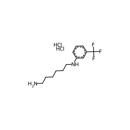 Cl.Cl.NCCCCCCNc1cccc(C(F)(F)F)c1